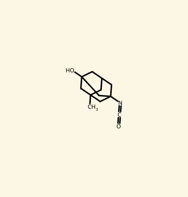 CC12CC3CC(O)(C1)CC(N=C=O)(C3)C2